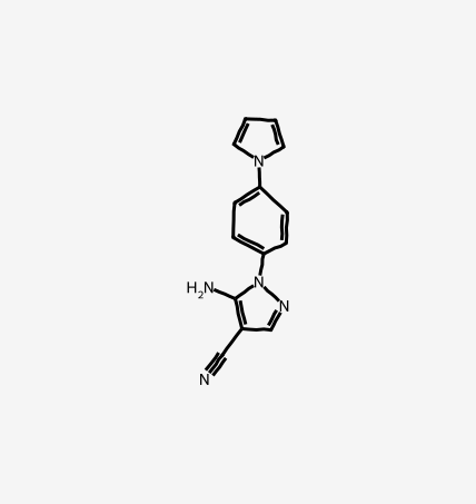 N#Cc1cnn(-c2ccc(-n3cccc3)cc2)c1N